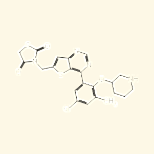 Cc1cc(Cl)cc(-c2ncnc3cc(CN4C(=O)CSC4=O)sc23)c1OC1CCCNC1